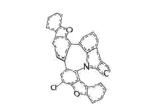 Clc1cc2c(c3c1oc1ccccc13)-n1c3ccccc3c3cccc(c31)-c1c-2ccc2c1oc1ccccc12